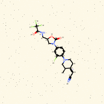 CC1CN(c2ccc(N3CC(CNC(=O)C(F)(F)F)OC3=O)cc2F)CC/C1=C/C#N